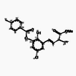 COC(=O)C(N=Cc1cc(Cl)cc(OC(=O)c2ccc(C)cc2)c1O)C(C)C